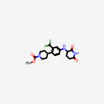 CC(C)(C)OC(=O)N1CCC(c2ccc(NC3CCC(=O)NC3=O)cc2C(F)F)CC1